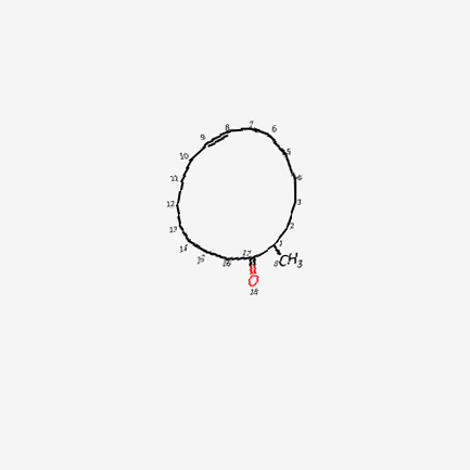 CC1CCCCCCC=CCCCCCCCC1=O